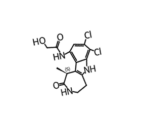 C[C@@H]1C(=O)NCCc2[nH]c3c(Cl)c(Cl)cc(NC(=O)CO)c3c21